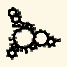 CO[C@]1(CN2CCN3CCOC[C@@H]3C2)/C=C/C[C@H](C)[C@H](Cc2ccccc2)S(=O)(=O)NC(=O)c2ccc3c(c2)N(CCCCc2cc(Cl)ccc2CO3)C[C@@H]2CC[C@H]21